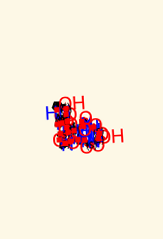 CC[C@H](C)[C@@H]([C@@H](CC(=O)N1CCC[C@H]1[C@H](OC)[C@@H](C)C(=O)N[C@H](C)[C@@H](O)c1ccccc1)OC)N(C)C(=O)[C@@H](NC(=O)[C@H](C(C)C)N(C)C(=O)OCc1ccc(NC(=O)[C@H](C)NC(=O)[C@H](CO)NC(=O)[C@H](C)NC(=O)CCN2C(=O)C=CC2=O)cc1)C(C)C